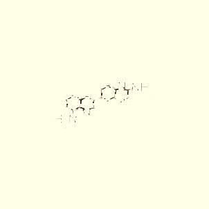 Nc1ccc2cc(-c3cnc4c(N)cccc4c3)ccc2n1